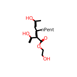 C=C(O)/C(C(=O)OCCO)=C(\C=C(/C)O)CCCCC